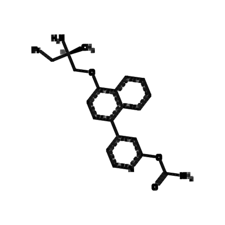 CC(C)C[C@](C)(N)COc1ccc(-c2ccnc(OC(N)=O)c2)c2ccccc12